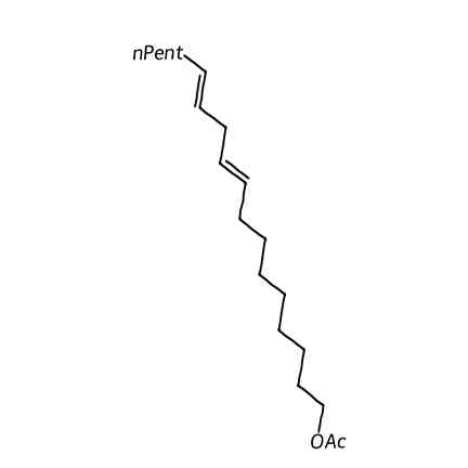 CCCCC/C=C/C/C=C/CCCCCCCCOC(C)=O